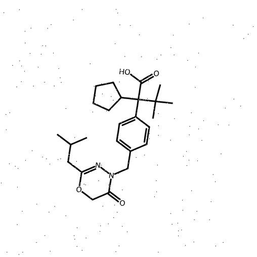 CC(C)CC1=NN(Cc2ccc(C(C(=O)O)(C3CCCC3)C(C)(C)C)cc2)C(=O)CO1